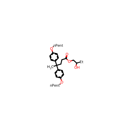 CCCCCOc1ccc(C(C)(CCC(=O)OCC(O)CC)c2ccc(OCCCCC)cc2)cc1